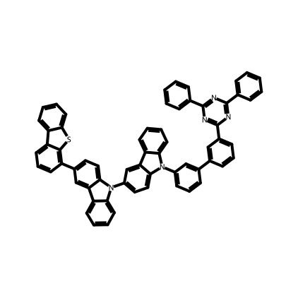 c1ccc(-c2nc(-c3ccccc3)nc(-c3cccc(-c4cccc(-n5c6ccccc6c6cc(-n7c8ccccc8c8cc(-c9cccc%10c9sc9ccccc9%10)ccc87)ccc65)c4)c3)n2)cc1